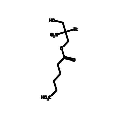 CCC(CO)(COC(=O)CCCCC(=O)O)[N+](=O)[O-]